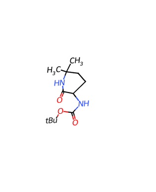 CC1(C)CCC(NC(=O)OC(C)(C)C)C(=O)N1